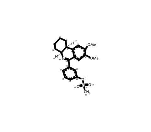 COc1cc2c(cc1OC)[C@@H]1CCCC[C@@H]1N=C2c1cccc(OS(C)(=O)=O)c1